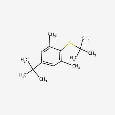 Cc1cc(C(C)(C)C)cc(C)c1SC(C)(C)C